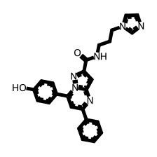 O=C(NCCCn1ccnc1)c1cc2nc(-c3ccccc3)cc(-c3ccc(O)cc3)n2n1